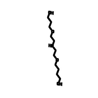 OCCCCOCCNCCOCCCO